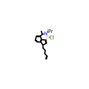 C=CCCCC1C=C2B(Cl)N(C(C)C)C(C)c3cccc1c32